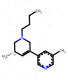 CCCCN1CC(c2cncc(C)c2)=C[C@H](C)C1